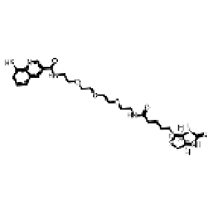 O=C(CCCC[C@@H]1SC[C@@H]2NC(=O)N[C@@H]21)NCCOCCOCCOCCNC(=O)c1cnc2c(S)cccc2c1